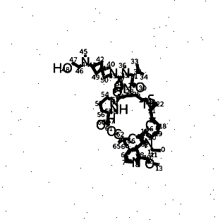 CCn1c(-c2cccnc2[C@H](C)OC)c2c3cc(ccc31)-c1csc(n1)C[C@H](NC(=O)[C@H](C(C)C)N(C)C(=O)N1CC3(CC(N(C)CCO)C3)C1)C(=O)N1CCC[C@H](N1)C(=O)OCC(C)(C)C2